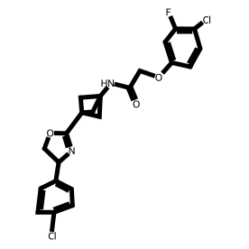 O=C(COc1ccc(Cl)c(F)c1)NC12CC(C3=NC(c4ccc(Cl)cc4)CO3)(C1)C2